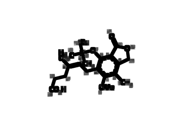 COc1c(C)c2c(c(O[Si](C)(C)C(C)(C)C)c1CC=C(C)CCC(=O)O)C(=O)OC2